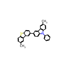 Cc1ccc2c(c1)C1C=C(c3ccc4c(c3)c3cc(C)ccc3n4-c3ccccc3)C=CC1S2